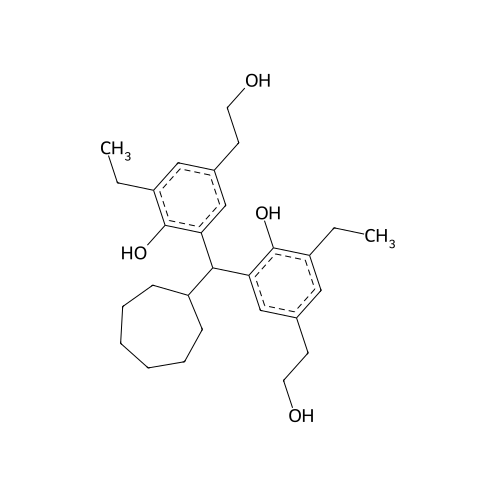 CCc1cc(CCO)cc(C(c2cc(CCO)cc(CC)c2O)C2CCCCCC2)c1O